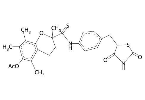 CC(=O)Oc1c(C)c(C)c2c(c1C)CCC(C)(C(=S)Nc1ccc(CC3SC(=O)NC3=O)cc1)O2